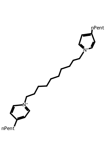 CCCCCc1cc[n+](CCCCCCCCCC[n+]2ccc(CCCCC)cc2)cc1